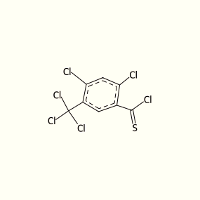 S=C(Cl)c1cc(C(Cl)(Cl)Cl)c(Cl)cc1Cl